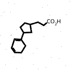 O=C(O)CCC1CCC(C2=CC=CCC2)C1